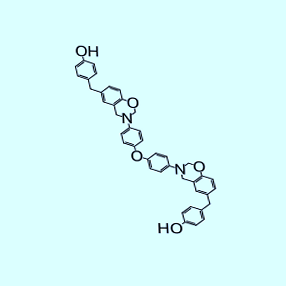 Oc1ccc(Cc2ccc3c(c2)CN(c2ccc(Oc4ccc(N5COc6ccc(Cc7ccc(O)cc7)cc6C5)cc4)cc2)CO3)cc1